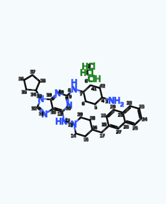 Cl.Cl.Cl.NC1CCC(Nc2nc(NN3CCC(Cc4ccc5ccccc5c4)CC3)c3ncn(C4CCCC4)c3n2)CC1